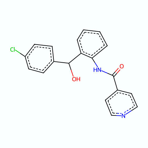 O=C(Nc1ccccc1C(O)c1ccc(Cl)cc1)c1ccncc1